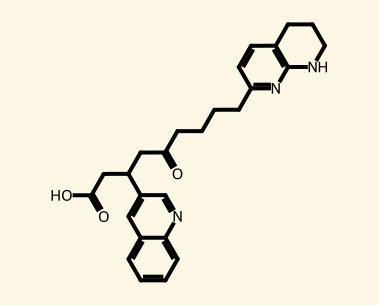 O=C(O)CC(CC(=O)CCCCc1ccc2c(n1)NCCC2)c1cnc2ccccc2c1